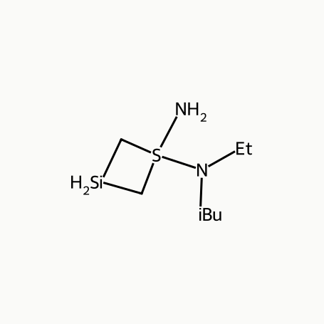 CCC(C)N(CC)S1(N)C[SiH2]C1